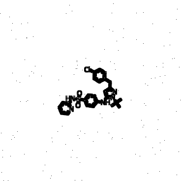 CC(C)(C)n1nc(Cc2ccc(Cl)cc2)cc1Nc1ccc(S(=O)(=O)Nc2ccccn2)cc1